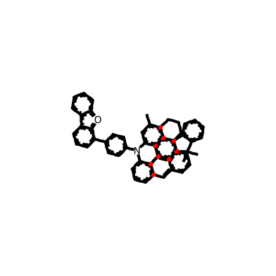 Cc1ccc(C2=c3c(C4CCCCC4)cccc3=CCC2)c(N(c2ccc(-c3cccc4c3oc3ccccc34)cc2)c2ccccc2-c2ccc3c(c2)C(C)(C)c2ccccc2-3)c1